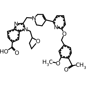 COc1cc(COc2cccc(C3=CCN(Cc4nc5ccc(C(=O)O)cc5n4CC4CCO4)CC3)n2)ccc1C(C)=O